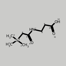 C[Si](C)(C)CC(=O)NCCC(=O)O